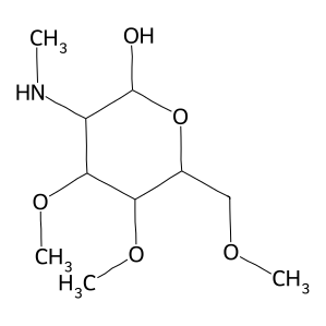 CNC1C(O)OC(COC)C(OC)C1OC